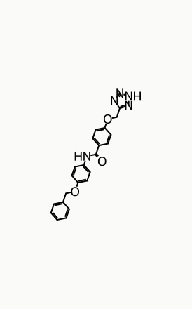 O=C(Nc1ccc(OCc2ccccc2)cc1)c1ccc(OCc2nn[nH]n2)cc1